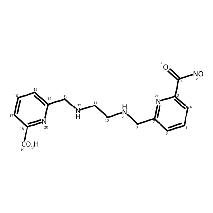 O=NC(=O)c1cccc(CNCCNCc2cccc(C(=O)O)n2)n1